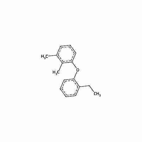 CCc1ccccc1Oc1cccc(C)c1C